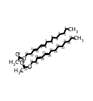 CCCCCCCC/C=C/C=C/CCOC(C)=O.CCCCCCCC/C=C/C=C/CCOC(C)=O